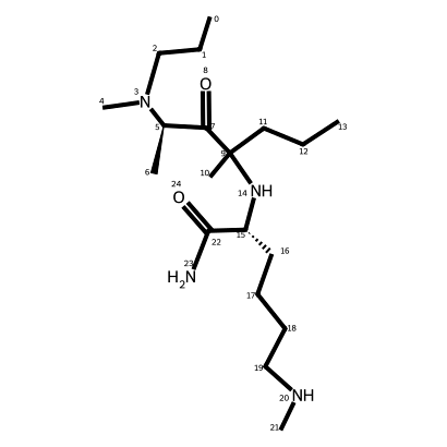 CCCN(C)[C@H](C)C(=O)C(C)(CCC)N[C@H](CCCCNC)C(N)=O